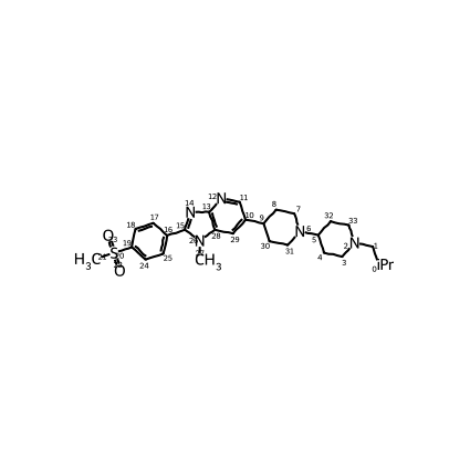 CC(C)CN1CCC(N2CCC(c3cnc4nc(-c5ccc(S(C)(=O)=O)cc5)n(C)c4c3)CC2)CC1